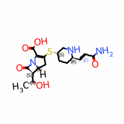 C[C@@H](O)[C@H]1C(=O)N2C(C(=O)O)=C(S[C@H]3CC[C@H](/C=C/C(N)=O)NC3)C[C@H]12